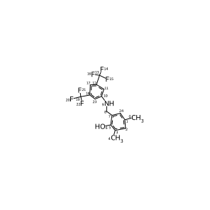 Cc1cc(C)c(O)c(CNc2cc(C(F)(F)F)cc(C(F)(F)F)c2)c1